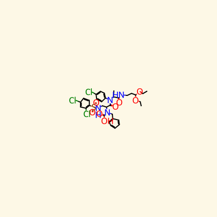 CCOC(CCNC(=O)C(C)N(C(=O)C(CNS(=O)(=O)c1ccc(Cl)cc1Cl)N(Cc1ccccc1)C(=O)O)c1ccc(Cl)cc1)OCC